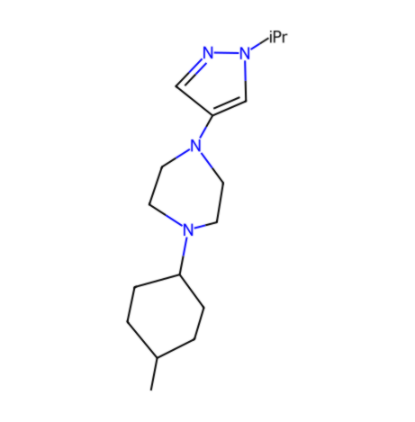 CC1CCC(N2CCN(c3cnn(C(C)C)c3)CC2)CC1